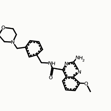 COc1cccc2c(C(=O)NCc3cccc(CN4CCOCC4)c3)nc(N)nc12